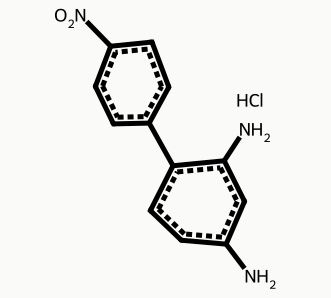 Cl.Nc1ccc(-c2ccc([N+](=O)[O-])cc2)c(N)c1